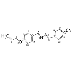 C=CCOc1ccc(C=NN=Cc2ccc(C#N)cc2)cc1